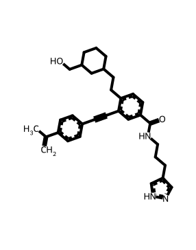 C=C(C)c1ccc(C#Cc2cc(C(=O)NCCCc3cn[nH]c3)ccc2CCC2CCCC(CO)C2)cc1